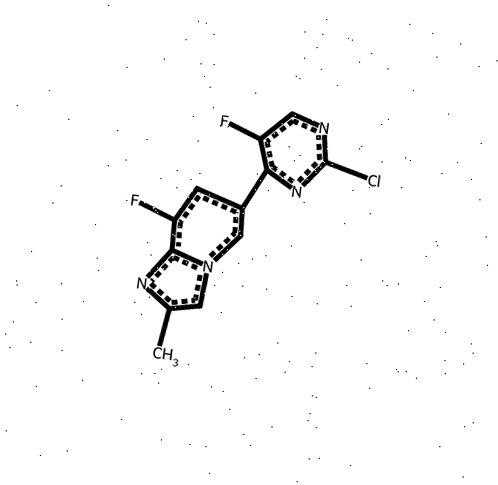 Cc1cn2cc(-c3nc(Cl)ncc3F)cc(F)c2n1